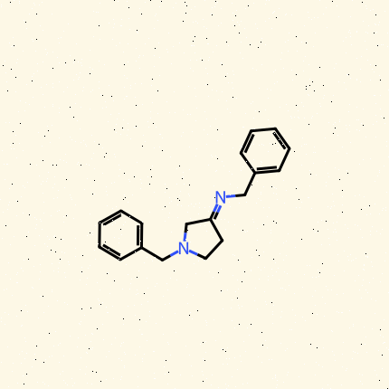 c1ccc(CN=C2CCN(Cc3ccccc3)C2)cc1